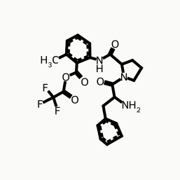 Cc1cccc(NC(=O)C2CCCN2C(=O)C(N)Cc2ccccc2)c1C(=O)OC(=O)C(F)(F)F